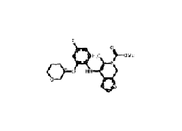 COC(=O)N1Cc2sccc2C(Nc2ccc(F)cc2O[C@@H]2CCCOC2)=C1C